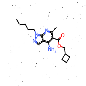 CCCCCn1ncc2c(N)c(C(=O)OCC3CCC3)c(C)nc21